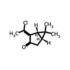 CC(Cl)=C1C(=O)C[C@@H]2[C@H]1C2(C)C